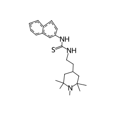 CN1C(C)(C)CC(CCNC(=S)Nc2ccc3ccccc3c2)CC1(C)C